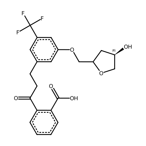 O=C(O)c1ccccc1C(=O)CCc1cc(OCC2C[C@@H](O)CO2)cc(C(F)(F)F)c1